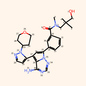 CN(CC(C)(C)CO)C(=O)c1cccc(-c2cc(-c3ccnn3C3CCOCC3)c3c(N)ncnn23)c1